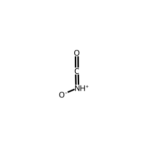 O=C=[NH+][O-]